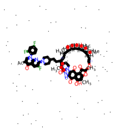 CO[C@H]1/C=C/O[C@@]2(C)Oc3c(C)c(O)c4c(c3C2=O)C(=O)C(N2CCC(CCCC3CCN(c5nc6c(cc5F)c(=O)c(C(C)=O)cn6-c5ccc(F)cc5F)CC3)CC2)=C(NC(=O)/C(C)=C\C=C\[C@H](C)[C@H](O)[C@@H](C)[C@@H](O)[C@@H](C)[C@H](OC(C)=O)[C@@H]1C)C4=O